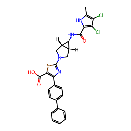 Cc1[nH]c(C(=O)N[C@H]2[C@@H]3CN(c4nc(-c5ccc(-c6ccccc6)cc5)c(C(=O)O)s4)C[C@@H]32)c(Cl)c1Cl